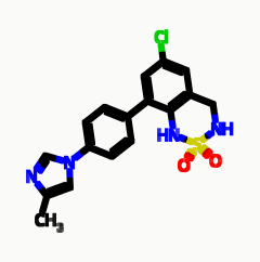 Cc1cn(-c2ccc(-c3cc(Cl)cc4c3NS(=O)(=O)NC4)cc2)cn1